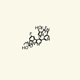 CCN(C(=O)O)c1cc(F)cc2c1[nH]c1ncc(-c3cncc(C#N)c3)c(-n3cc(CO)c(C(F)(F)F)n3)c12